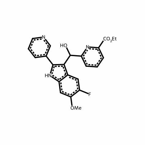 CCOC(=O)c1cccc(C(O)c2c(-c3cccnc3)[nH]c3cc(OC)c(F)cc23)n1